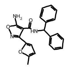 Cc1ccc(-c2noc(N)c2C(=O)NC(c2ccccc2)c2ccccc2)o1